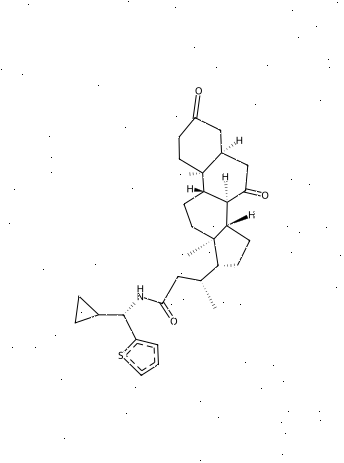 C[C@H](CC(=O)N[C@H](c1cccs1)C1CC1)[C@H]1CC[C@H]2[C@@H]3C(=O)C[C@@H]4CC(=O)CC[C@]4(C)[C@H]3CC[C@]12C